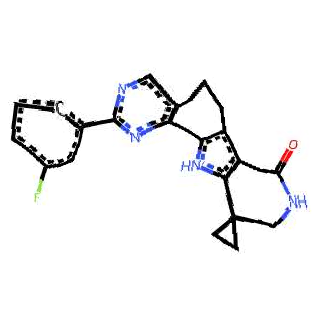 O=C1NCC2(CC2)c2[nH]c3c(c21)CCc1cnc(-c2cccc(F)c2)nc1-3